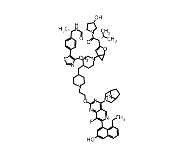 CCc1cccc2cc(O)cc(-c3ncc4c(N5CC6CCC(C5)N6)nc(OCCN5CCC(CC6CCN(C78C=C([C@H](C(=O)N9C[C@H](O)C[C@H]9C(=O)N[C@@H](C)c9ccc(-c%10scnc%10C)cc9)C(C)C)OC7C8)CC6)CC5)nc4c3F)c12